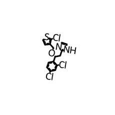 Clc1ccc(C(Cc2ncc[nH]2)OCc2ccsc2Cl)c(Cl)c1